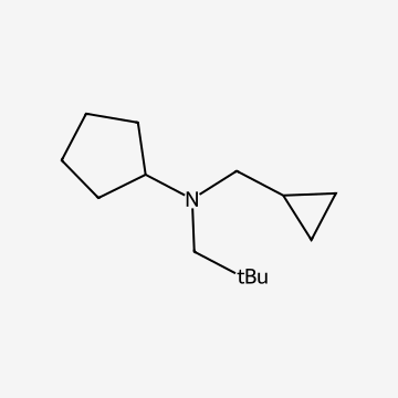 CC(C)(C)CN(CC1CC1)C1CCCC1